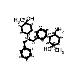 C[C@]1(O)CC[C@@H](N(Cc2ccccc2)Cc2ccccc2)CC1.C[C@]1(O)CC[C@@H](N)CC1